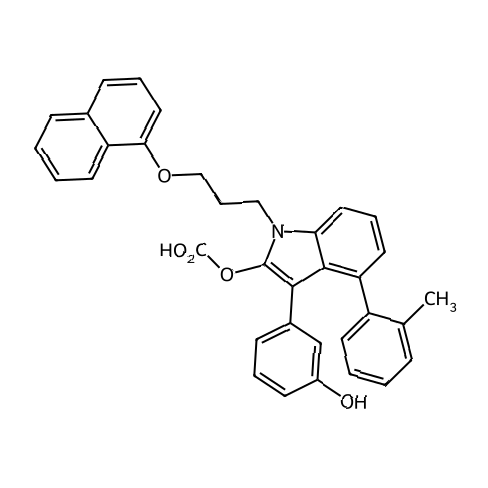 Cc1ccccc1-c1cccc2c1c(-c1cccc(O)c1)c(OC(=O)O)n2CCCOc1cccc2ccccc12